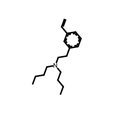 C=Cc1cccc(CCN(CCCC)CCCC)c1